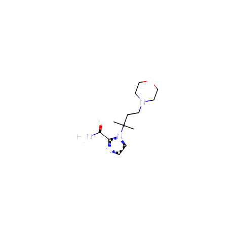 CC(C)(CCN1CCOCC1)n1c[c]nc1C(N)=O